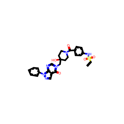 C=CS(=O)(=O)Nc1ccc(C(=O)N2CCC(O)(Cn3cnc4c(cnn4-c4ccccc4)c3=O)CC2)cc1